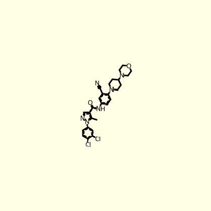 Cc1c(C(=O)Nc2ccc(N3CCC(N4CCOCC4)CC3)c(C#N)c2)cnn1-c1ccc(Cl)c(Cl)c1